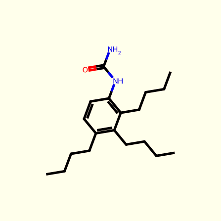 CCCCc1ccc(NC(N)=O)c(CCCC)c1CCCC